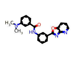 CN(C)c1cccc(C(=O)Nc2cccc(-c3nc4ncccc4o3)c2)c1